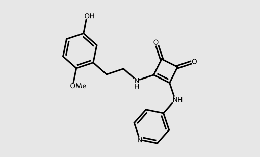 COc1ccc(O)cc1CCNc1c(Nc2ccncc2)c(=O)c1=O